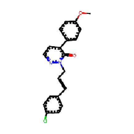 COc1ccc(-c2ccnn(CC=Cc3ccc(Cl)cc3)c2=O)cc1